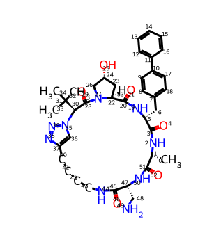 C[C@H]1NC(=O)[C@@H](Cc2ccc(-c3ccccc3)cc2)NC(=O)[C@@H]2C[C@@H](O)CN2C(=O)[C@H](C(C)(C)C)n2cc(nn2)CCCCNC(=O)[C@@H](CN)NC1=O